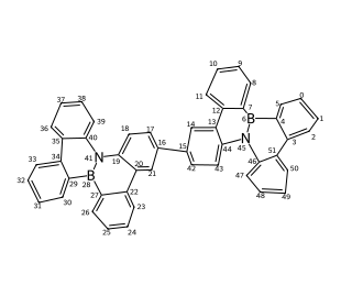 c1ccc2c(c1)B1c3ccccc3-c3cc(-c4ccc5c(c4)-c4ccccc4B4c6ccccc6-c6ccccc6N45)ccc3N1c1ccccc1-2